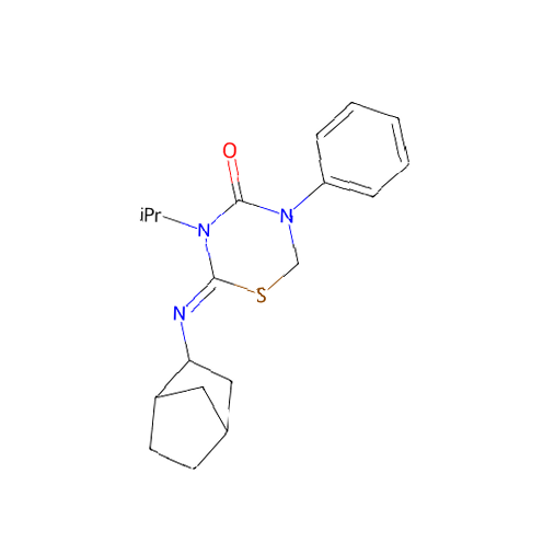 CC(C)N1C(=O)N(c2ccccc2)CSC1=NC1CC2CCC1C2